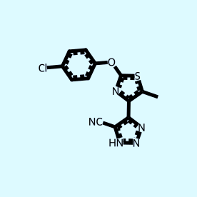 Cc1sc(Oc2ccc(Cl)cc2)nc1-c1nn[nH]c1C#N